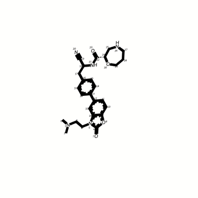 CN(C)CCn1c(=O)oc2ccc(-c3ccc(CC(C#N)NC(=O)[C@@H]4CNCCCO4)cc3)cc21